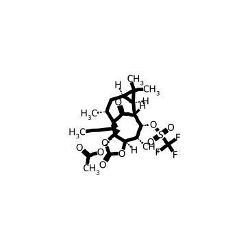 CC(=O)O[C@H]1C(C)=C[C@]23C(=O)[C@@H]([C@H](OS(=O)(=O)C(F)(F)F)[C@H](C)[C@H]4OC(=O)OC412)[C@H]1[C@@H](C[C@H]3C)C1(C)C